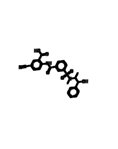 CC(C(O)c1ccccc1)N(C)S(=O)(=O)c1cccc(C(=O)Nc2ccc(C#N)cc2C(=O)O)c1